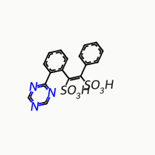 O=S(=O)(O)C(=C(c1ccccc1-c1ncncn1)S(=O)(=O)O)c1ccccc1